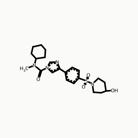 CN(C(=O)n1cnc(-c2ccc(S(=O)(=O)N3CCC(O)CC3)cc2)c1)C1CCCCC1